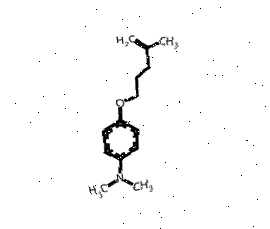 C=C(C)CCCOc1ccc(N(C)C)cc1